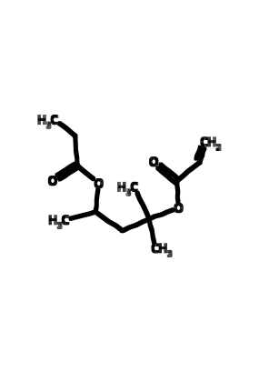 C=CC(=O)OC(C)(C)CC(C)OC(=O)CC